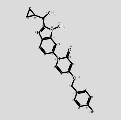 CC(c1nc2ccc(-n3ccc(OCc4ccc(F)cc4)cc3=O)cc2n1C)C1CC1